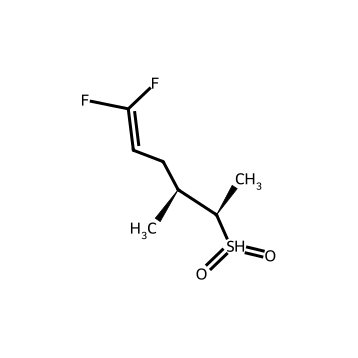 C[C@H]([C@@H](C)CC=C(F)F)[SH](=O)=O